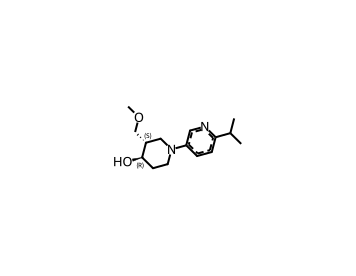 COC[C@@H]1CN(c2ccc(C(C)C)nc2)CC[C@H]1O